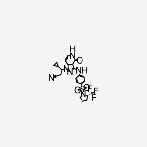 N#CC[C@@H](C1CC1)n1nc(Nc2ccc(S(=O)(=O)N3CCC[C@H]3C(F)(F)F)cc2)c2c(=O)[nH]ccc21